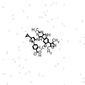 COc1cc2c(cc1-c1c(C)noc1C)[nH]c1nc(C)nc(Nc3cc(C4CC4)nn3-c3ccc(C(=O)O)cc3)c12